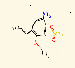 C=Cc1cc(N)ccc1OC.O=[SH2]=O